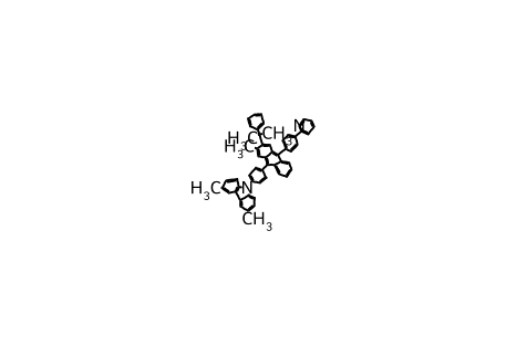 Cc1ccc2c(c1)c1cc(C)ccc1n2-c1ccc(-c2c3ccccc3c(-c3ccc(-c4ccccn4)cc3)c3cc(C(C)(C)c4ccccc4)c(C)cc23)cc1